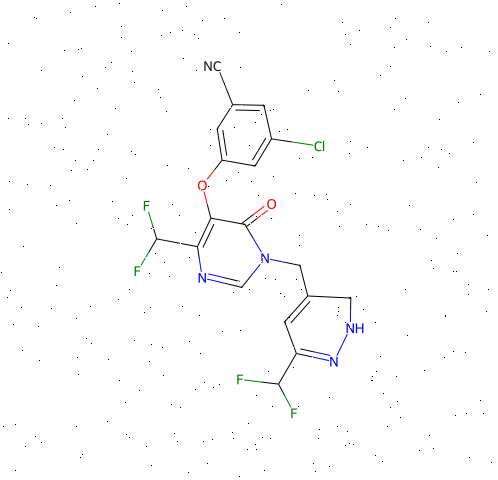 N#Cc1cc(Cl)cc(Oc2c(C(F)F)ncn(CC3=CC(C(F)F)=NNC3)c2=O)c1